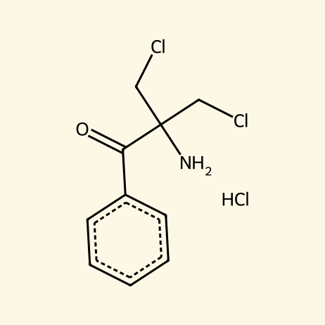 Cl.NC(CCl)(CCl)C(=O)c1ccccc1